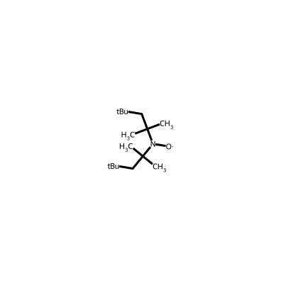 CC(C)(C)CC(C)(C)N([O])C(C)(C)CC(C)(C)C